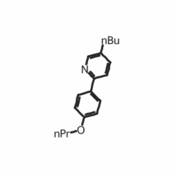 CCCCc1ccc(-c2ccc(OCCC)cc2)nc1